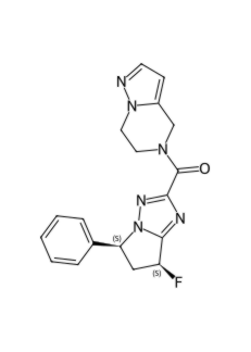 O=C(c1nc2n(n1)[C@H](c1ccccc1)C[C@@H]2F)N1CCn2nccc2C1